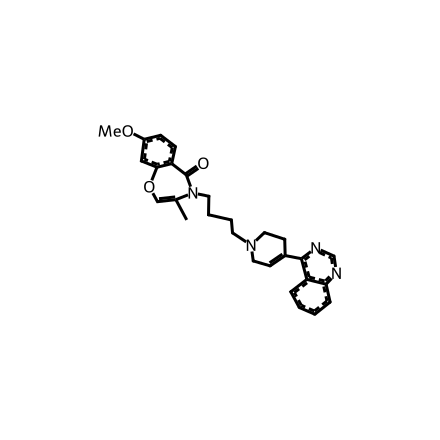 COc1ccc2c(c1)OC=C(C)N(CCCCN1CC=C(c3ncnc4ccccc34)CC1)C2=O